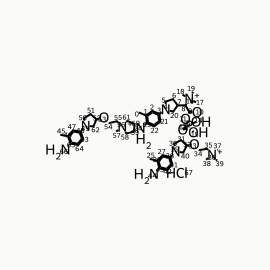 Cc1cc(N2CCC(C(C(=O)OP(=O)(O)O)[N+](C)(C)C)C2)ccc1N.Cc1cc(N2CCC(OCC[N+](C)(C)C)C2)ccc1N.Cc1cc(N2CCC(OCC[N+]3(C)CCCC3)C2)ccc1N.Cl